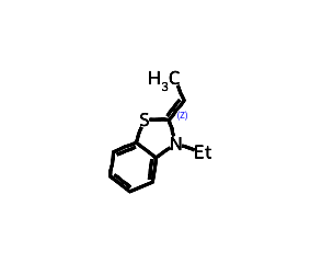 C/C=C1\Sc2ccccc2N1CC